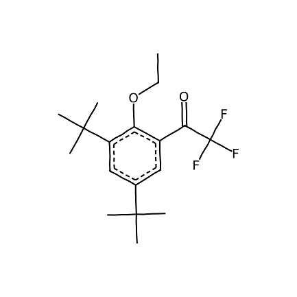 CCOc1c(C(=O)C(F)(F)F)cc(C(C)(C)C)cc1C(C)(C)C